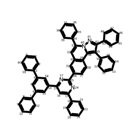 c1ccc(-c2cc(-c3ccccc3)cc(-c3cc(-c4ccccc4)nc(-c4ccc5c(c4)cc(-c4ccccc4)n4nc(-c6ccccc6)c(-c6ccccc6)c54)n3)c2)cc1